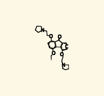 CCOc1ccc(OCCN2CCCC2)c2c1-c1c(OCCN3CCCC3)cccc1C2=O